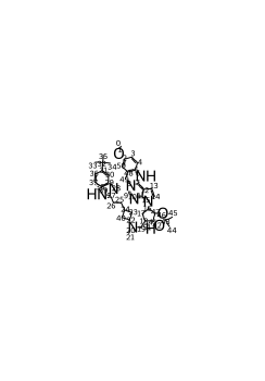 COc1ccc(Nc2ncnc3c2ccn3[C@@H]2C[C@H](CN(C)C3CC(CCc4nc5cc(C(C)(C)C)ccc5[nH]4)C3)[C@H]3OC(C)(C)OC23)c(C)c1